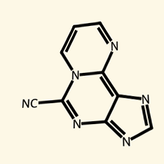 N#Cc1nc2ncnc-2c2ncccn12